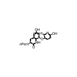 CCCCCc1nc(O)ccc1Oc1cc(O)cc2cc(CCCCC)c(=O)[nH]c12